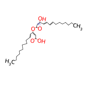 CCCCCCCC=CC=C/C(O)=C\C(=O)OC(C=CCCCCCCCCC)=CC(=O)O